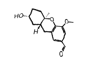 COc1cc(C=O)cc2c1O[C@]1(C)CC[C@@H](O)C[C@H]1C2